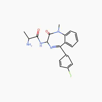 CC(N)C(=O)NC1N=C(c2ccc(F)cc2)c2ccccc2N(C)C1=O